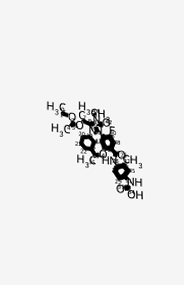 CCOC(C)OC(C)c1nn(-c2cc(OC(C)C3CCCCC3)c(C(=O)Nc3ccc(NC(=O)O)cc3C)cc2F)c(=O)n1C